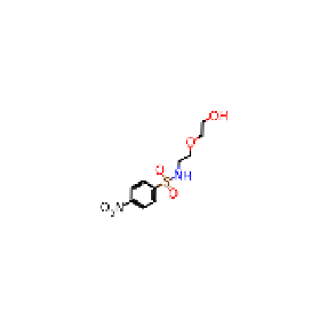 O=[N+]([O-])c1ccc(S(=O)(=O)NCCOCCO)cc1